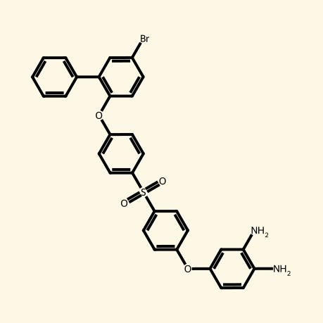 Nc1ccc(Oc2ccc(S(=O)(=O)c3ccc(Oc4ccc(Br)cc4-c4ccccc4)cc3)cc2)cc1N